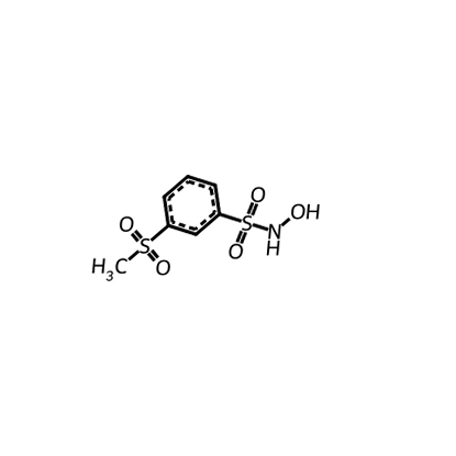 CS(=O)(=O)c1cccc(S(=O)(=O)NO)c1